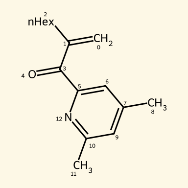 C=C(CCCCCC)C(=O)c1cc(C)cc(C)n1